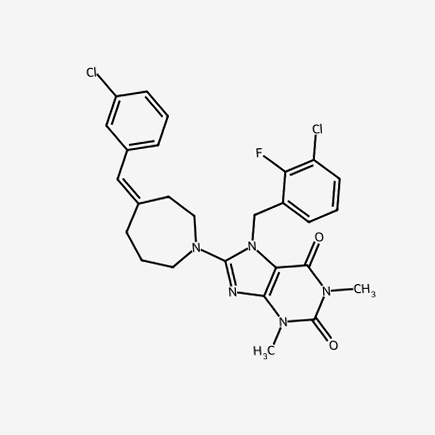 Cn1c(=O)c2c(nc(N3CCC/C(=C/c4cccc(Cl)c4)CC3)n2Cc2cccc(Cl)c2F)n(C)c1=O